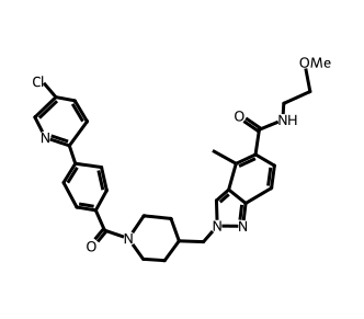 COCCNC(=O)c1ccc2nn(CC3CCN(C(=O)c4ccc(-c5ccc(Cl)cn5)cc4)CC3)cc2c1C